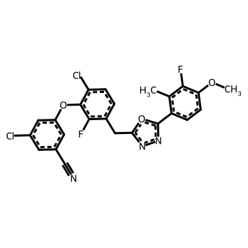 COc1ccc(-c2nnc(Cc3ccc(Cl)c(Oc4cc(Cl)cc(C#N)c4)c3F)o2)c(C)c1F